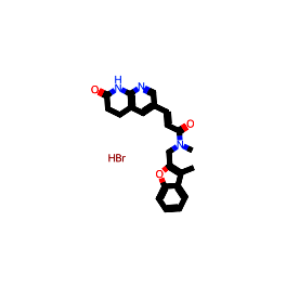 Br.Cc1c(CN(C)C(=O)C=Cc2cnc3c(c2)CCC(=O)N3)oc2ccccc12